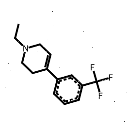 CCN1CC=C(c2cccc(C(F)(F)F)c2)CC1